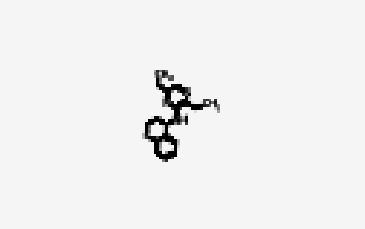 CCc1cnc(CC)c(NC2CCSc3ccccc32)n1